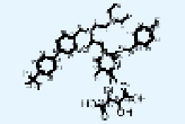 CCN(CC)CCN(Cc1ccc(-c2ccc(C(F)(F)F)cc2)cc1)C(=O)Cn1cc(C)c(=O)nc1SCc1ccc(F)cc1.O=C(O)C(O)C(O)C(=O)O